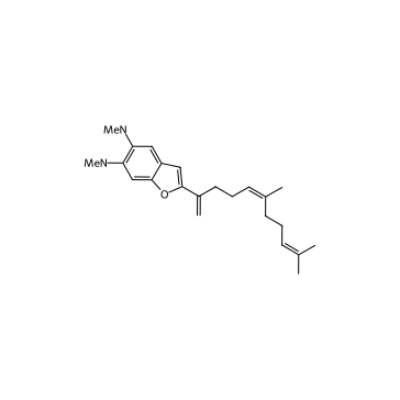 C=C(CCC=C(C)CCC=C(C)C)c1cc2cc(NC)c(NC)cc2o1